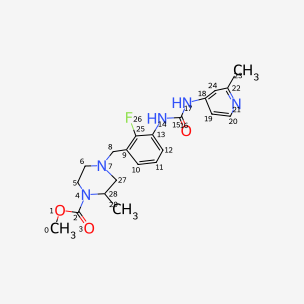 COC(=O)N1CCN(Cc2cccc(NC(=O)Nc3ccnc(C)c3)c2F)CC1C